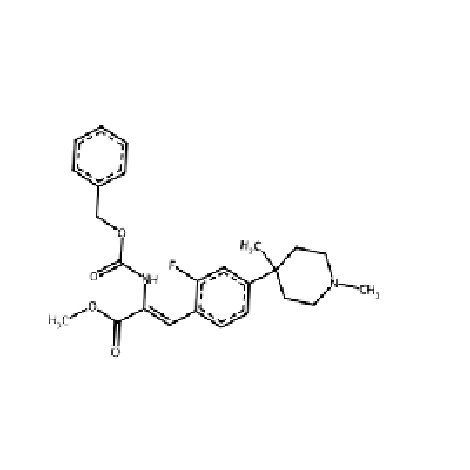 COC(=O)C(=Cc1ccc(C2(C)CCN(C)CC2)cc1F)NC(=O)OCc1ccccc1